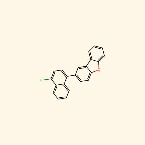 Clc1ccc(-c2ccc3oc4ccccc4c3c2)c2ccccc12